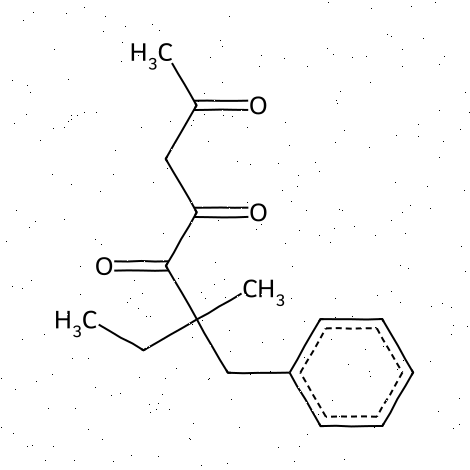 CCC(C)(Cc1ccccc1)C(=O)C(=O)CC(C)=O